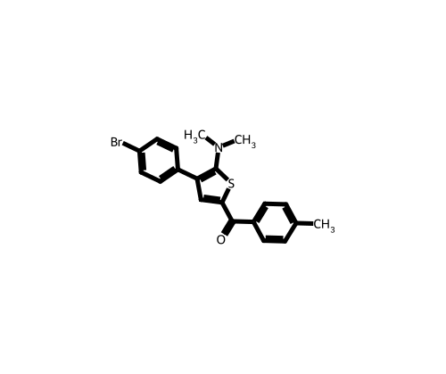 Cc1ccc(C(=O)c2cc(-c3ccc(Br)cc3)c(N(C)C)s2)cc1